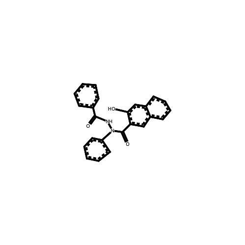 O=C(NN(C(=O)c1cc2ccccc2cc1O)c1ccccc1)c1ccccc1